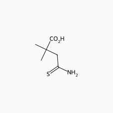 CC(C)(CC(N)=S)C(=O)O